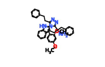 COc1ccc(Cn2c(CCc3ccccc3)nnc2[C@@](N)(Cc2ccccc2)Cc2c[nH]c3ccccc23)c(OC)c1